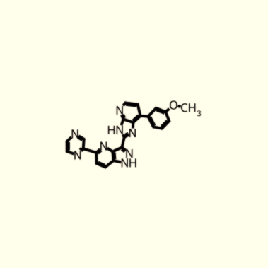 COc1cccc(-c2ccnc3[nH]c(-c4n[nH]c5ccc(-c6cnccn6)nc45)nc23)c1